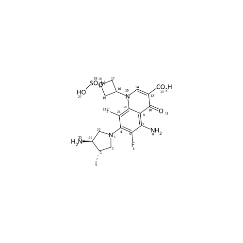 C[C@H]1CN(c2c(F)c(N)c3c(=O)c(C(=O)O)cn(C4COC4)c3c2F)C[C@@H]1N.O=S(=O)(O)O